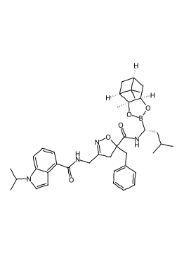 CC(C)C[C@H](NC(=O)C1(Cc2ccccc2)CC(CNC(=O)c2cccc3c2ccn3C(C)C)=NO1)B1O[C@@H]2C[C@@H]3C[C@@H](C3(C)C)[C@]2(C)O1